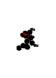 Cc1cc2c3c(c1)N(c1ccc(C(C)(C)C)cc1-c1ccccc1)c1cc4c(cc1B3c1ccc(N3c5ccc(-c6ccccc6)cc5C5(C)CCCCC35C)cc1N2c1ccc(C(C)(C)C)cc1)CC(C)(C)C4